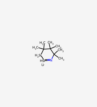 CC1(C)N=[SiH][SiH2]C(C)(C)C1(C)C.[Li]